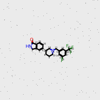 O=C1NCc2cc([C@H]3CCCN(Cc4cc(F)cc(C(F)(F)F)c4)C3)ccc21